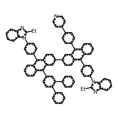 CCc1nc2ccccc2n1-c1ccc(-c2c3ccccc3c(-c3ccc(-c4ccncc4)cc3)c3cc(-c4ccc5c(-c6ccc(-n7c(CC)nc8ccccc87)cc6)c6ccccc6c(-c6ccc(-c7ccccc7)c(-c7ccccc7)c6)c5c4)ccc23)cc1